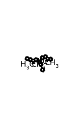 CC1(C)c2cc(N(c3ccc(-c4ccccc4)cc3)c3ccc4ccc5c(c4c3)C(C)(C)c3ccccc3-5)ccc2-c2cc3ccccc3cc21